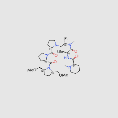 COC[C@@H]1CC[C@@H](COC)N1C(=O)[C@@H]1CCCN1C(=O)[C@@H]1CCCN1C[C@H](C(C)C)N(C)C(=O)[C@@H](NC(=O)[C@H]1CCCCN1C)C(C)(C)C